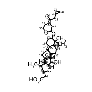 C[C@@H]1C[C@H](CC(=O)O)O[C@H]2[C@H]1[C@@]1(C)CC[C@@]34C[C@@]35CCC(OC3CN(C(=O)CC6CC6)CCO3)C(C)(C)[C@@H]5CC[C@H]4[C@]1(C)[C@H]2O